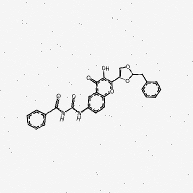 O=C(NC(=O)c1ccccc1)Nc1ccc2oc(C3=COC(Cc4ccccc4)O3)c(O)c(=O)c2c1